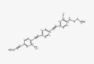 CCCCCCCCC#Cc1ccc(C#Cc2ccc(C#Cc3ccc(OCCCCCCCCCCCC)c(F)c3)cc2)c(C(F)(F)F)c1